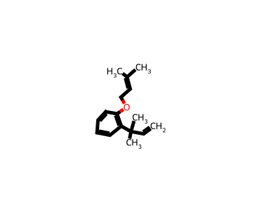 C=CC(C)(C)c1ccc[c]c1OCC=C(C)C